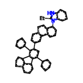 CCc1[nH]c2ccccc2[n+]1-c1cccc2c1ccc1ccc(-c3cc(-c4ccccc4)c4c(c3-c3ccccc3)-c3cccc5cccc-4c35)cc12